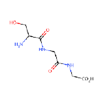 NC(CO)C(=O)NCC(=O)NCC(=O)O